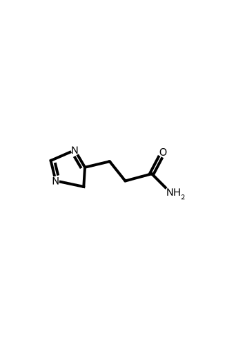 NC(=O)CCC1=NC=NC1